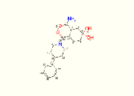 NC(=O)C1CC(O)(O)CCC1C(=O)N1CCC(c2ccccc2)CC1